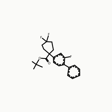 CC(C)(C)OC(=O)C1(c2ccc(-c3ccccc3)c(F)c2)CCC(F)(F)CC1